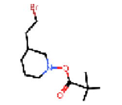 CC(C)(C)C(=O)ON1CCCC(CCBr)C1